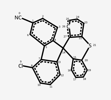 N#Cc1ccc2c(c1)-c1c(Cl)cccc1C21c2ccccc2Sc2ccccc21